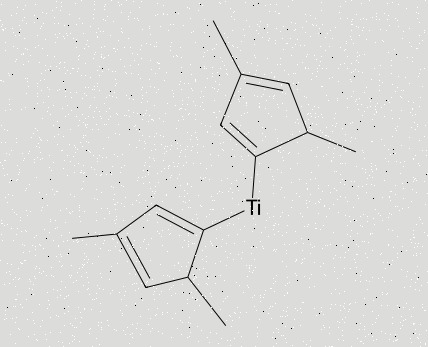 CC1=CC(C)[C]([Ti][C]2=CC(C)=CC2C)=C1